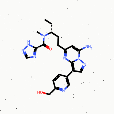 CC[C@H](CCc1cc(N)n2ncc(-c3ccc(CO)nc3)c2n1)N(C)C(=O)c1ncn[nH]1